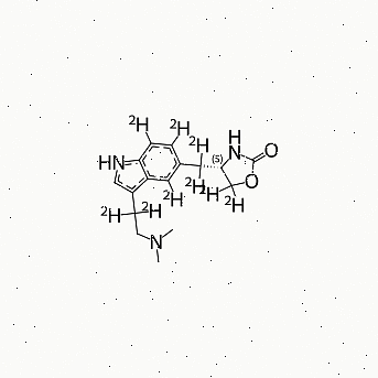 [2H]c1c(C([2H])([2H])[C@@H]2NC(=O)OC2([2H])[2H])c([2H])c2c(C([2H])([2H])CN(C)C)c[nH]c2c1[2H]